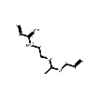 C=CCOC(C)OCCNC(=O)C=C